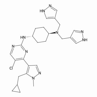 Cn1ncc(-c2nc(N[C@H]3CC[C@H](N(Cc4cn[nH]c4)Cc4cn[nH]c4)CC3)ncc2Cl)c1CC1CC1